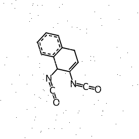 O=C=NC1=CCc2ccccc2C1N=C=O